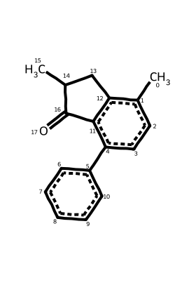 Cc1ccc(-c2ccccc2)c2c1CC(C)C2=O